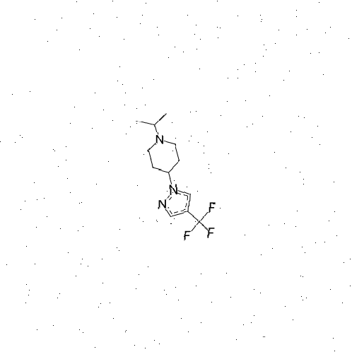 CC(C)N1CCC(n2cc(C(F)(F)F)cn2)CC1